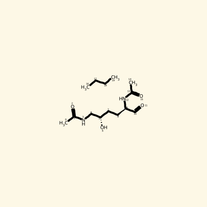 CC(=O)NC[C@@H](O)CC[C@H](C=O)NC(C)=O.CCCC